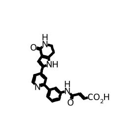 O=C(O)C=CC(=O)Nc1cccc(-c2cc(-c3cc4c([nH]3)CCNC4=O)ccn2)c1